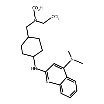 CN(C)c1cc(NC2CCC(CN(CC(Cl)(Cl)Cl)C(=O)O)CC2)nc2ccccc12